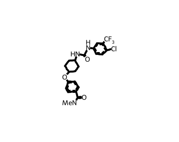 CNC(=O)c1ccc(OC2CCC(NC(=O)Nc3ccc(Cl)c(C(F)(F)F)c3)CC2)cc1